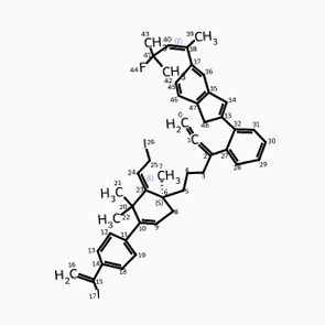 C=C=C(CCC[C@@]1(C)CC=C(c2ccc(C(=C)I)cc2)C(C)(C)/C1=C/CI)c1ccccc1C1=Cc2cc(/C(C)=C\C(C)(C)F)ccc2C1